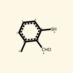 Cc1cccc(S)c1C=O